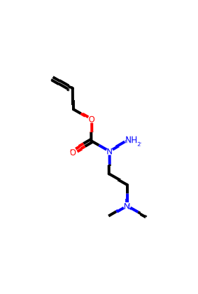 C=CCOC(=O)N(N)CCN(C)C